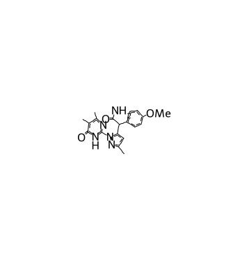 COc1ccc(C(C(N)=O)c2cc(C)nn2-c2nc(C)c(C)c(=O)[nH]2)cc1